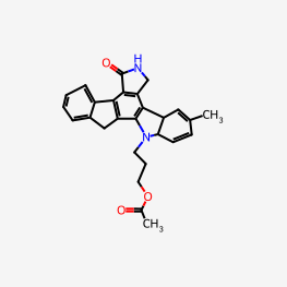 CC(=O)OCCCN1c2c3c(c4c(c2C2C=C(C)C=CC21)CNC4=O)-c1ccccc1C3